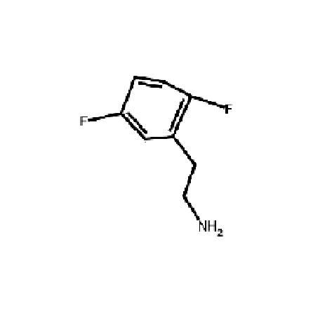 NCCc1[c]c(F)ccc1F